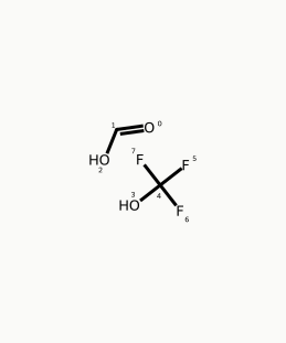 O=CO.OC(F)(F)F